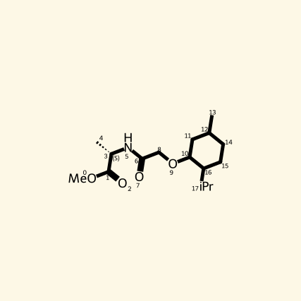 COC(=O)[C@H](C)NC(=O)COC1CC(C)CCC1C(C)C